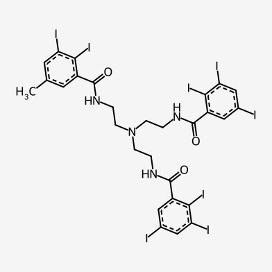 Cc1cc(I)c(I)c(C(=O)NCCN(CCNC(=O)c2cc(I)cc(I)c2I)CCNC(=O)c2cc(I)cc(I)c2I)c1